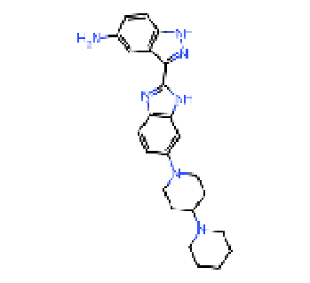 Nc1ccc2[nH]nc(-c3nc4ccc(N5CCC(N6CCCCC6)CC5)cc4[nH]3)c2c1